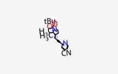 CC(C)(C)OC(=O)N1CC/C(=C\C#Cc2cc(C#N)ccn2)C1(C)C